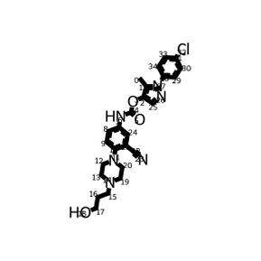 Cc1c(OC(=O)Nc2ccc(N3CCN(CCCO)CC3)c(C#N)c2)cnn1-c1ccc(Cl)cc1